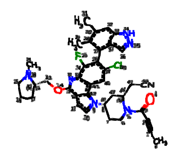 CC#CC(=O)N1CC[C@H](n2ccc3c(OC[C@@H]4CCCN4C)nc4c(F)c(-c5c(C)c(C)cc6[nH]ncc56)c(Cl)cc4c32)C[C@H]1CC#N